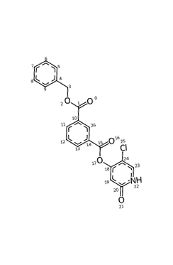 O=C(OCc1ccccc1)c1cccc(C(=O)Oc2cc(=O)[nH]cc2Cl)c1